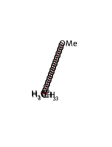 COCCOCCOCCOCCOCCOCCOCCOCCOCCOCCOCCOCCOCCOCCOCCOCCOCCOCCOCCOCCOCCOCCOCCOCC[N+]1=C(C)C(C)(C)c2cc(C)ccc21